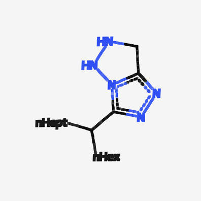 CCCCCCCC(CCCCCC)c1nnc2n1NNC2